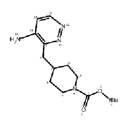 CC(C)(C)OC(=O)N1CCC(Cc2nnccc2N)CC1